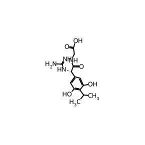 CC(C)c1c(O)cc([C@H](NC(=N)N)C(=O)NCC(=O)O)cc1O